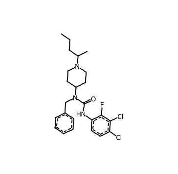 CCCC(C)N1CCC(N(Cc2ccccc2)C(=O)Nc2ccc(Cl)c(Cl)c2F)CC1